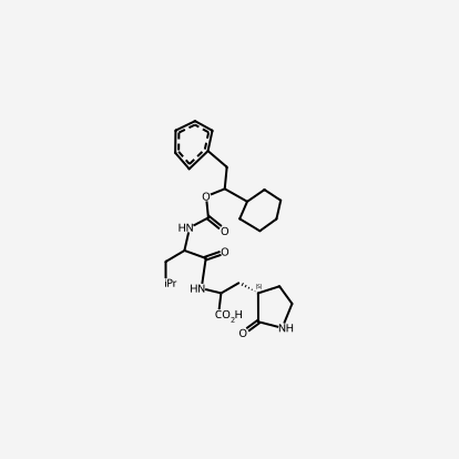 CC(C)CC(NC(=O)OC(Cc1ccccc1)C1CCCCC1)C(=O)NC(C[C@@H]1CCNC1=O)C(=O)O